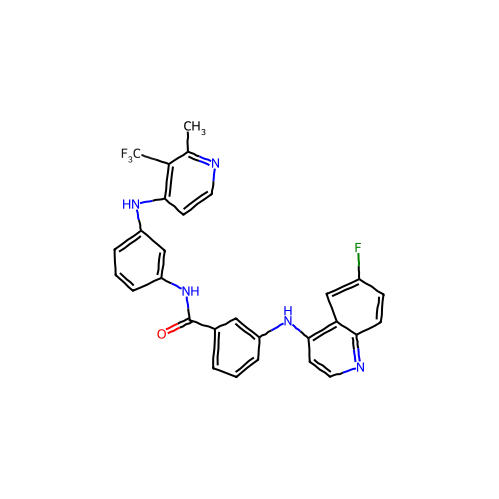 Cc1nccc(Nc2cccc(NC(=O)c3cccc(Nc4ccnc5ccc(F)cc45)c3)c2)c1C(F)(F)F